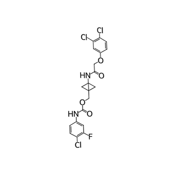 O=C(COc1ccc(Cl)c(Cl)c1)NC12CC1(COC(=O)Nc1ccc(Cl)c(F)c1)C2